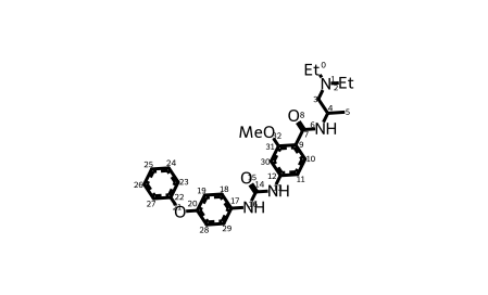 CCN(CC)CC(C)NC(=O)c1ccc(NC(=O)Nc2ccc(Oc3ccccc3)cc2)cc1OC